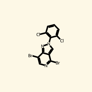 Clc1cccc(Cl)c1-n1cc2c(Br)ncc(Br)c2n1